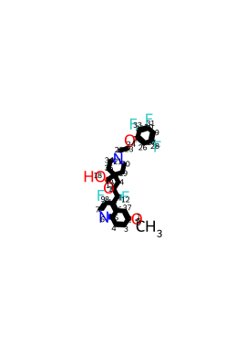 COc1ccc2ncc(F)c(C(F)CCC3(C(=O)O)CCN(CCOc4cc(F)cc(F)c4F)CC3)c2c1